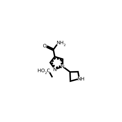 CC(=O)O.NC(=O)c1cnn(C2CNC2)c1